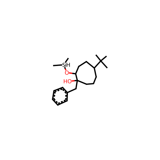 C[SiH](C)OC1CCC(C(C)(C)C)CCCC1(O)Cc1ccccc1